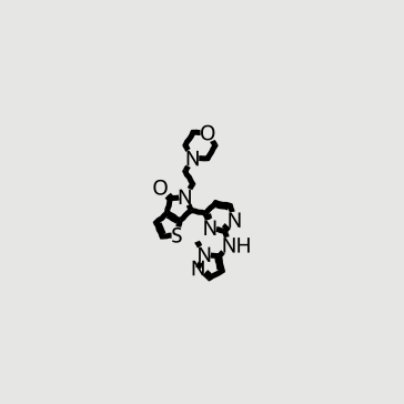 Cn1nccc1Nc1nccc(C2c3sccc3C(=O)N2CCN2CCOCC2)n1